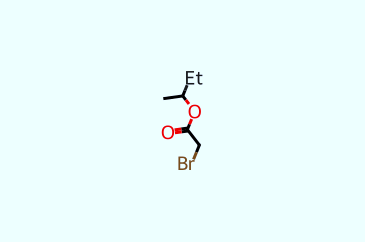 CCC(C)OC(=O)CBr